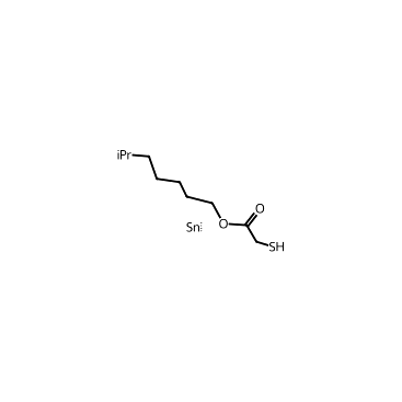 CC(C)CCCCCOC(=O)CS.[Sn]